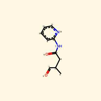 CC(C=O)CC(=O)Nc1ccccn1